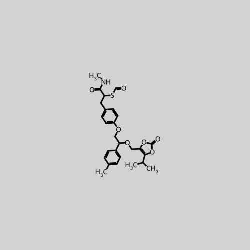 CNC(=O)C(Cc1ccc(OCC(OCc2oc(=O)oc2C(C)C)c2ccc(C)cc2)cc1)SC=O